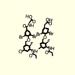 CCC(=O)Nc1cc(C)cc(COc2c(Br)cc(CC(=O)O)cc2Br)c1F.CCC(=O)Nc1cc(Cl)cc(COc2c(Br)cc(C(=O)NCC(=O)O)cc2Br)c1F